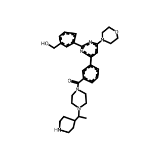 CC(C1CCNCC1)N1CCN(C(=O)c2cccc(-c3cc(N4CCOCC4)nc(-c4cccc(CO)c4)n3)c2)CC1